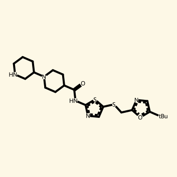 CC(C)(C)c1cnc(CSc2cnc(NC(=O)C3CCN(C4CCCNC4)CC3)s2)o1